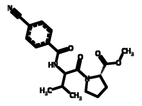 COC(=O)[C@@H]1CCCN1C(=O)C(NC(=O)c1ccc(C#N)cc1)C(C)C